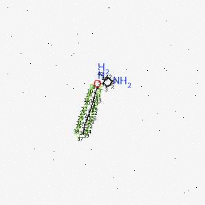 Nc1ccc(OC(F)(F)C(F)(F)C(F)(F)C(F)(F)C(F)(F)C(F)(F)C(F)(F)C(F)(F)C(F)(F)C(F)(F)C(F)(F)F)c(N)c1